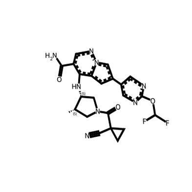 C[C@H]1CN(C(=O)C2(C#N)CC2)C[C@H]1Nc1c(C(N)=O)cnn2cc(-c3cnc(OC(F)F)nc3)cc12